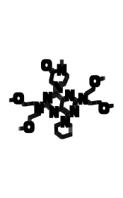 COCCN(CCOC)c1nc(N2CCN(C)C(=O)C2)c2nc(N(CCOC)CCOC)nc(N3CCCCC3)c2n1